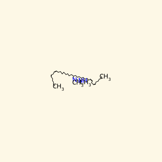 CCCCC/C=C\C/C=C\CCCCCCCCC(CCCCCCCC/C=C\C/C=C\CCCCC)CN(C)CCNC